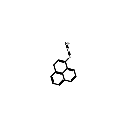 N=C=NC1=CCc2cccc3cccc1c23